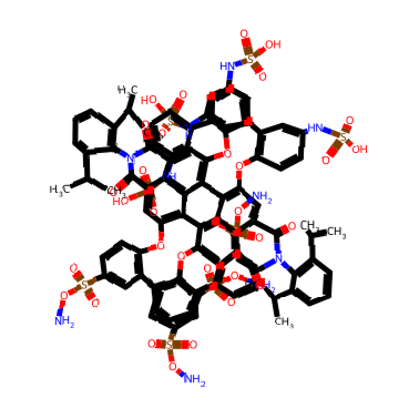 CC(C)c1cccc(C(C)C)c1N1C(=O)c2cc(Oc3ccc(NS(=O)(=O)O)cc3-c3cccc(NS(=O)(=O)O)c3)c3c4c(Oc5ccc(NS(=O)(=O)O)cc5-c5cccc(NS(=O)(=O)O)c5)cc5c6c(cc(Oc7ccc(S(=O)(=O)ON)cc7-c7cccc(S(=O)(=O)ON)c7)c(c7c(Oc8ccc(S(=O)(=O)ON)cc8-c8cccc(S(=O)(=O)ON)c8)cc(c2c37)C1=O)c64)C(=O)N(c1c(C(C)C)cccc1C(C)C)C5=O